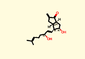 C=C1C[C@H]2[C@H](C=C[C@@H](O)CCC=C(C)C)[C@H](O)C[C@@H]2C1=O